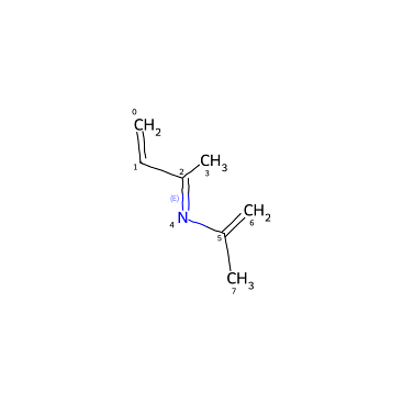 C=C/C(C)=N/C(=C)C